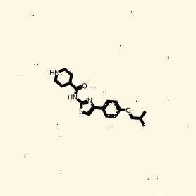 CC(C)COc1ccc(-c2csc(NC(=O)C3CCNCC3)n2)cc1